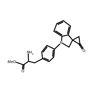 COC(=O)C(N)Cc1ccc(N2CC3(CC3=O)c3ccccc32)cc1